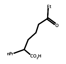 CCCC(CCCC(=O)CC)C(=O)O